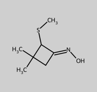 CSC1/C(=N/O)CC1(C)C